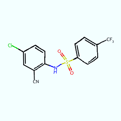 N#Cc1cc(Cl)ccc1NS(=O)(=O)c1ccc(C(F)(F)F)cc1